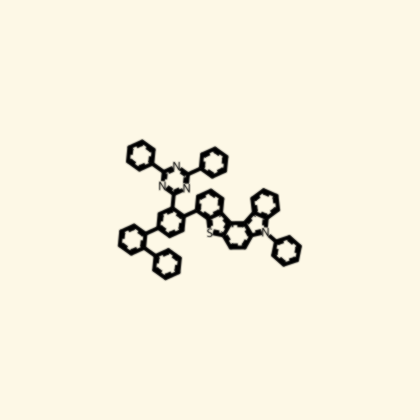 c1ccc(-c2nc(-c3ccccc3)nc(-c3cc(-c4ccccc4-c4ccccc4)ccc3-c3cccc4c3sc3ccc5c(c6ccccc6n5-c5ccccc5)c34)n2)cc1